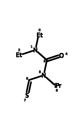 CCN(CC)C(=O)N(C=S)C(C)C